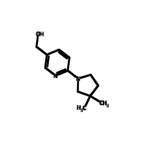 CC1(C)CCN(c2ccc(CO)cn2)C1